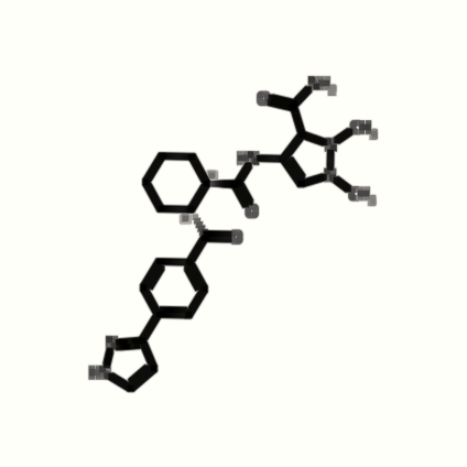 CN1C=C(NC(=O)[C@@H]2CCCC[C@H]2C(=O)c2ccc(-c3cc[nH]n3)cc2)C(C(N)=O)N1C